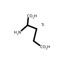 NC(CCC(=O)O)C(=O)O.[Ti]